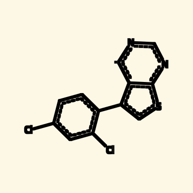 Clc1ccc(-c2csc3ncn[c]c23)c(Cl)c1